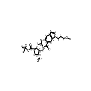 COCCCn1ccc2ccc(C(=O)N(C[C@@H]3CN(C(=O)OC(C)(C)C)C[C@H]3C=O)C(C)C)cc21